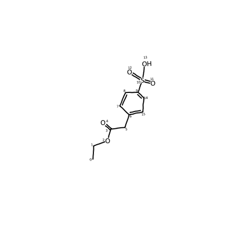 CCOC(=O)Cc1ccc(S(=O)(=O)O)cc1